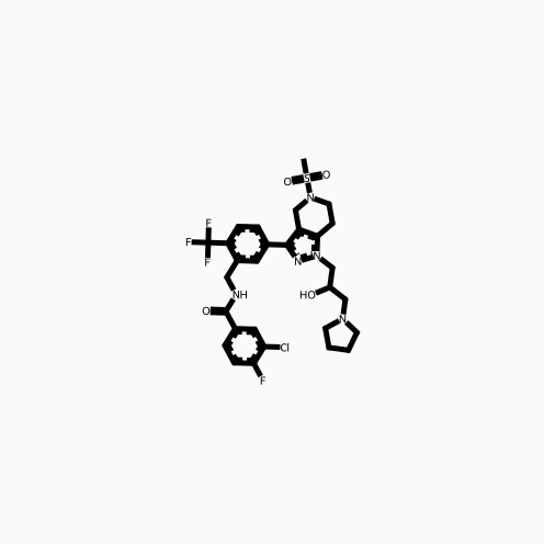 CS(=O)(=O)N1CCc2c(c(-c3ccc(C(F)(F)F)c(CNC(=O)c4ccc(F)c(Cl)c4)c3)nn2CC(O)CN2CCCC2)C1